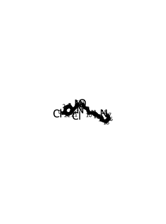 Clc1ccc(-c2noc(CCC#Cc3ccccn3)n2)c(Cl)c1